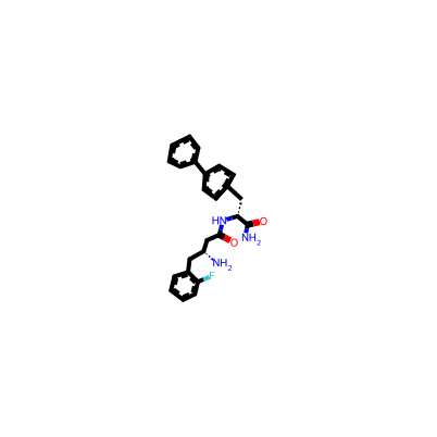 NC(=O)[C@@H](Cc1ccc(-c2ccccc2)cc1)NC(=O)C[C@H](N)Cc1ccccc1F